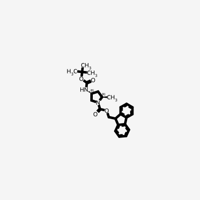 C[C@@H]1C[C@@H](NC(=O)OC(C)(C)C)CN1C(=O)OCC1c2ccccc2-c2ccccc21